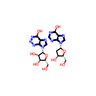 OC[C@H]1O[C@@H](n2cnc3c(O)ncnc32)C[C@@H]1O.OC[C@H]1O[C@@H](n2cnc3c(O)nnnc32)[C@H](O)[C@@H]1O